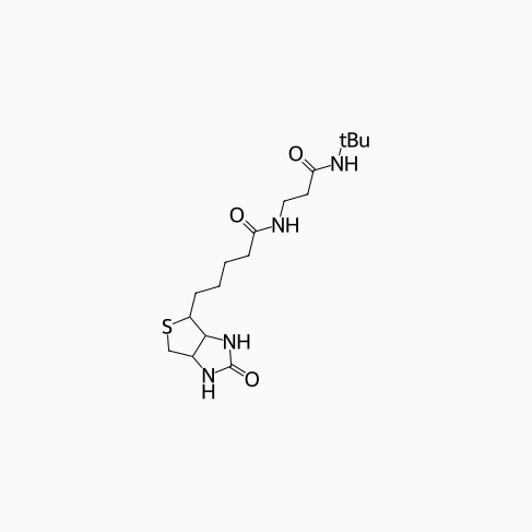 CC(C)(C)NC(=O)CCNC(=O)CCCCC1SCC2NC(=O)NC21